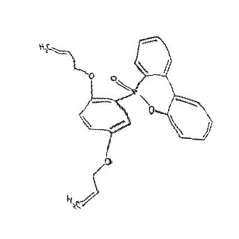 C=CCOc1ccc(OCC=C)c(P2(=O)Oc3ccccc3-c3ccccc32)c1